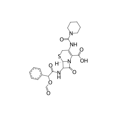 O=COC(C(=O)NC1C(=O)N2C(C(=O)O)=C(NC(=O)N3CCCCC3)CS[C@H]12)c1ccccc1